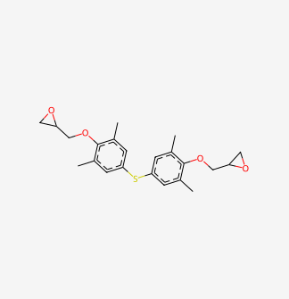 Cc1cc(Sc2cc(C)c(OCC3CO3)c(C)c2)cc(C)c1OCC1CO1